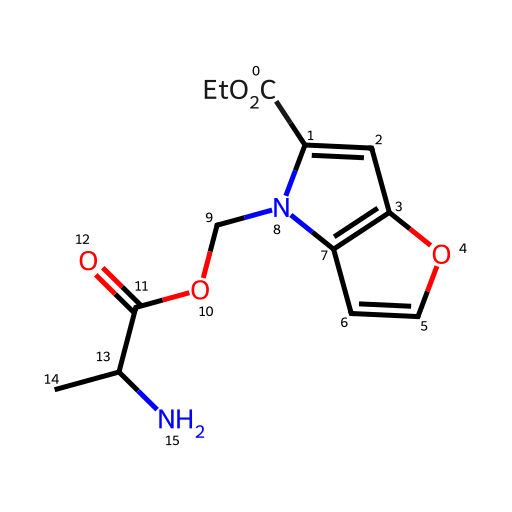 CCOC(=O)c1cc2occc2n1COC(=O)C(C)N